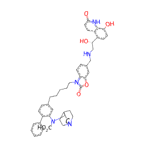 O=C(O)N(c1cc(CCCCCn2c(=O)oc3cc(CNC[C@H](O)c4ccc(O)c5[nH]c(=O)ccc45)ccc32)ccc1-c1ccccc1)C1CN2CCC1CC2